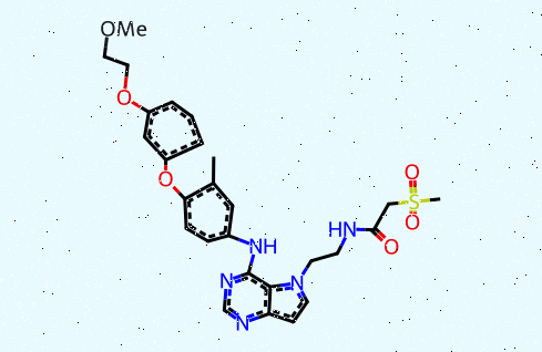 COCCOc1cccc(Oc2ccc(Nc3ncnc4ccn(CCNC(=O)CS(C)(=O)=O)c34)cc2C)c1